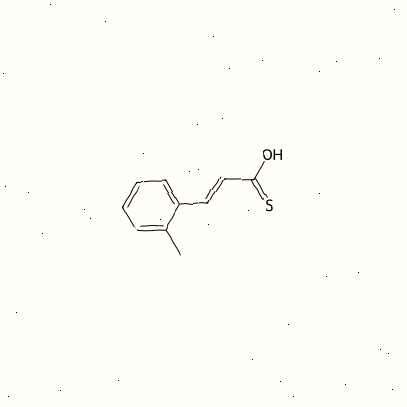 Cc1ccccc1C=CC(O)=S